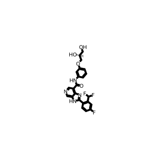 O=C(Nc1cccc(OC[C@H](O)CO)c1)c1cncc2[nH]c(-c3ccc(F)cc3C(F)F)nc12